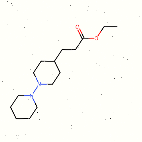 CCOC(=O)CCC1CCN(N2CCCCC2)CC1